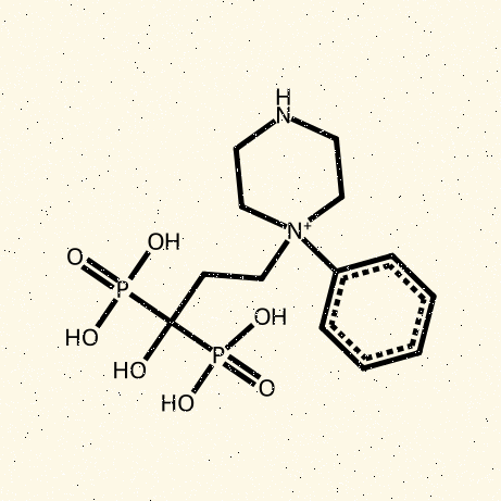 O=P(O)(O)C(O)(CC[N+]1(c2ccccc2)CCNCC1)P(=O)(O)O